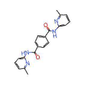 Cc1cccc(NC(=O)c2ccc(C(=O)Nc3cccc(C)n3)cc2)n1